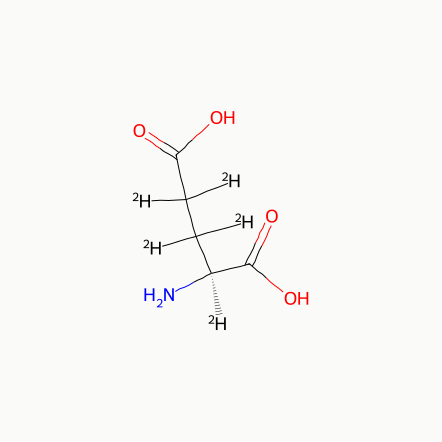 [2H]C([2H])(C(=O)O)C([2H])([2H])[C@]([2H])(N)C(=O)O